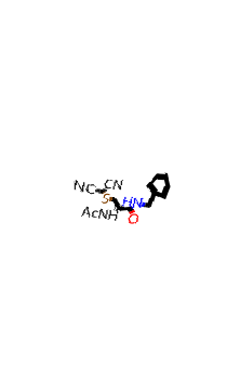 CC(=O)N[C@H](CSC(C#N)C#N)C(=O)NCc1ccccc1